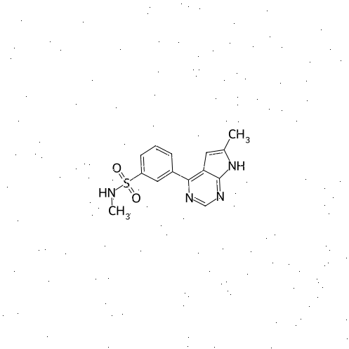 CNS(=O)(=O)c1cccc(-c2ncnc3[nH]c(C)cc23)c1